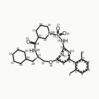 Cc1cccc(C)c1-c1cc2nc(n1)NS(=O)(=O)N1CCCC(C1)C(=O)N[C@H](CC1CCCCC1)CO2